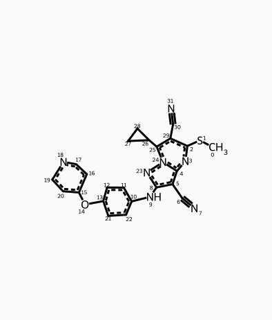 CSc1nc2c(C#N)c(Nc3ccc(Oc4ccncc4)cc3)nn2c(C2CC2)c1C#N